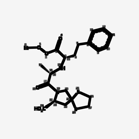 CCOOC(=O)[C@H](CCc1ccccc1)N[C@@H](C)C(=O)N1CC2(C[C@H]1C(=O)O)SCCS2